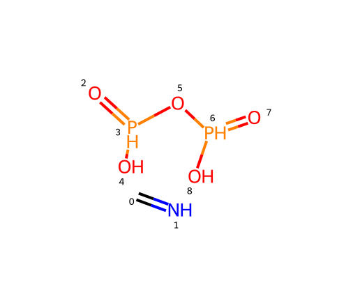 C=N.O=[PH](O)O[PH](=O)O